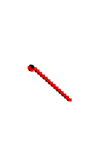 CCCCCCCCCCCCCCCCCCCCCCCCCCCc1ccccc1